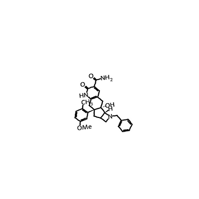 COc1ccc(C)c([C@@]23Cc4[nH]c(=O)c(C(N)=O)cc4C[C@@]2(O)[C@H]2C(CN2Cc2ccccc2)C3)c1